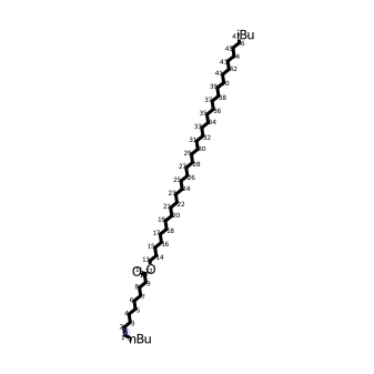 CCCC/C=C\CCCCCCCC(=O)OCCCCCCCCCCCCCCCCCCCCCCCCCCCCCCCCCCC(C)CC